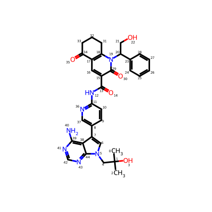 CC(C)(O)Cn1cc(-c2ccc(NC(=O)c3cc4c(n(C(CO)c5ccccc5)c3=O)CCCC4=O)nc2)c2c(N)ncnc21